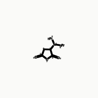 CCCN(CCC)C1CC(=O)OC1=O